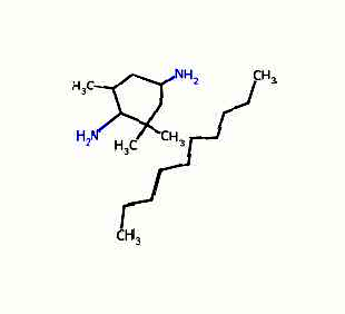 CC1CC(N)CC(C)(C)C1N.CCCCCCCCCC